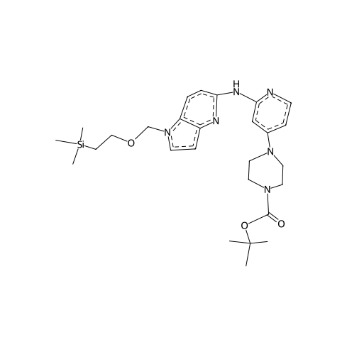 CC(C)(C)OC(=O)N1CCN(c2ccnc(Nc3ccc4c(ccn4COCC[Si](C)(C)C)n3)c2)CC1